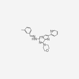 Cc1cccc(/C=N/Nc2cn3cc(-c4ccccn4)nc3c(N3CCOCC3)n2)c1